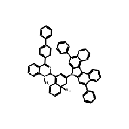 CN1c2ccccc2C(c2ccc(-c3ccccc3)cc2)=NC1C1=C2C=CC=CC2(C)CC(n2c3cc(-c4ccccc4)c4ccccc4c3c3c4ccccc4c(-c4ccccc4)cc32)=C1